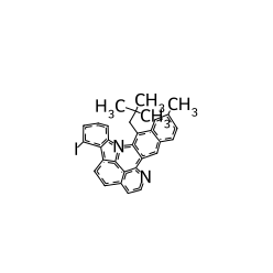 Cc1ccc2cc3c4nccc5ccc6c7c(I)cccc7n(c3c(CC(C)(C)C)c2c1)c6c54